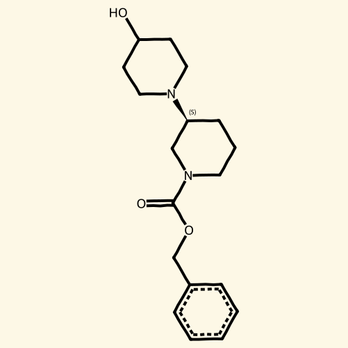 O=C(OCc1ccccc1)N1CCC[C@H](N2CCC(O)CC2)C1